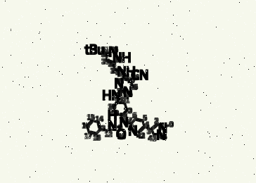 Cn1cc(-c2ccc(N(C(=O)NCc3ccccc3)[C@H]3CC[C@H](Nc4ncc(C#N)c(NCc5cc(C(C)(C)C)n[nH]5)n4)CC3)nc2)cn1